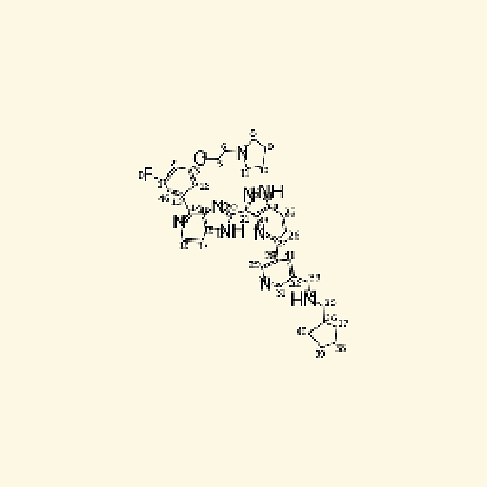 Fc1cc(OCCN2CCCC2)cc(-c2nccc3[nH]c(-c4n[nH]c5ccc(-c6cncc(CNCC7CCCC7)c6)nc45)nc23)c1